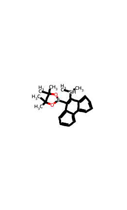 C[SiH](C)c1c(B2OC(C)(C)C(C)(C)O2)c2ccccc2c2ccccc12